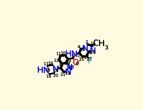 Cc1cn2cc(NC(=O)c3cccc4c(N5CCNCC5)cnnc34)cc(F)c2n1